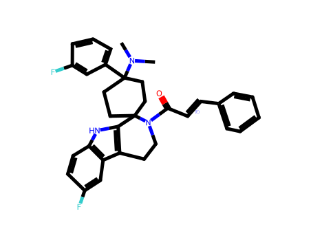 CN(C)C1(c2cccc(F)c2)CCC2(CC1)c1[nH]c3ccc(F)cc3c1CCN2C(=O)/C=C/c1ccccc1